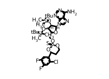 CC(C)(C)[Si](C)(C)O[C@@H]1[C@H](O[Si](C)(C)C(C)(C)C)[C@@H](COP2(=S)OCCC(c3cc(F)c(F)cc3Cl)O2)O[C@H]1n1cnc2c(N)ncnc21